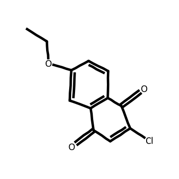 CCOc1ccc2c(c1)C(=O)C=C(Cl)C2=O